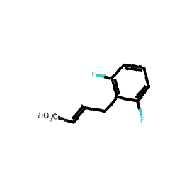 O=C(O)C=CCc1c(F)cccc1F